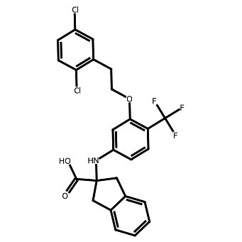 O=C(O)C1(Nc2ccc(C(F)(F)F)c(OCCc3cc(Cl)ccc3Cl)c2)Cc2ccccc2C1